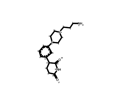 NCCCN1CCN(c2cccc(C3CCC(=O)NC3=O)c2)CC1